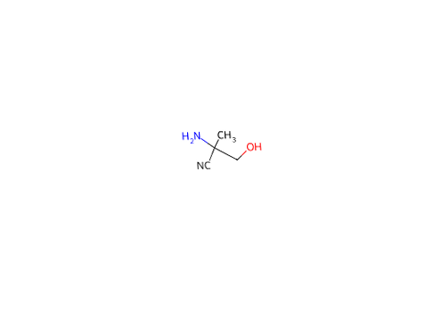 CC(N)(C#N)CO